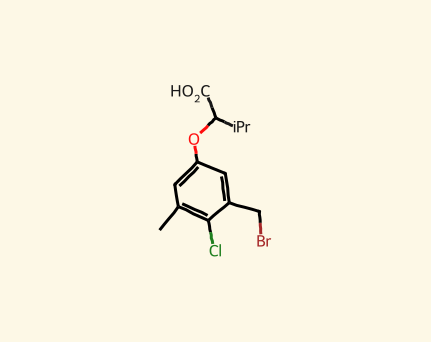 Cc1cc(OC(C(=O)O)C(C)C)cc(CBr)c1Cl